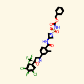 Cc1cc(C2=NO[C@@](c3cc(Cl)c(F)c(Cl)c3)(C(F)(F)F)C2)ccc1C(=O)NC1CN(S(=O)(=O)NC(=O)OCc2ccccc2)C1